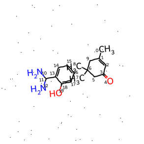 CC1=CC(=O)CC(C)(C)C1.NC(N)c1ccccc1O